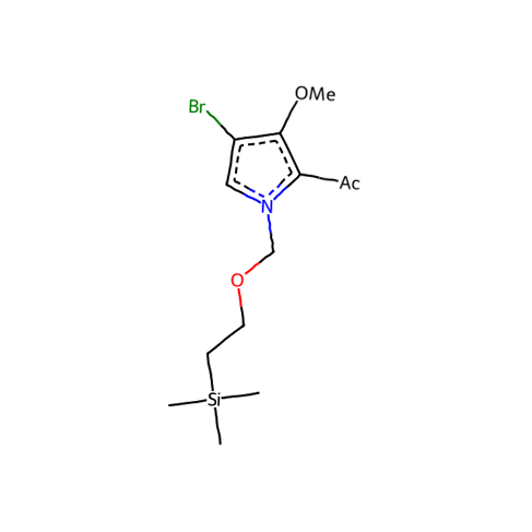 COc1c(Br)cn(COCC[Si](C)(C)C)c1C(C)=O